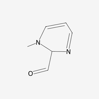 CN1C=CC=NC1C=O